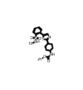 CCNS(=O)(=O)c1[c]cccc1-c1cnc(C2CCC(NC(=O)OC(C)C)CC2)s1